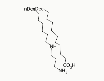 CCCCCCCCCCCCCCCCCCCC(=O)O.CCCCCCCCCCCCCCCCNCCCN